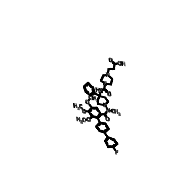 COc1cc(C(=O)N(C)N2CCC(NC(=O)N3CCN(CCC(=O)O)CC3)(c3ccccc3)CC2)c(-c2ccc(-c3ccc(F)cc3)cc2)c(OC)c1OC